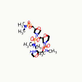 CN(C)[PH](=O)OC[C@@H]1CN([P@@](=O)(OC[C@@H]2CN(P(=O)(OC[C@@H]3CNCCO3)N(C)C)CCO2)N(C)C)CCO1